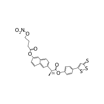 C[C@H](C(=O)Oc1ccc(-c2cc(=S)ss2)cc1)c1ccc2cc(OC(=O)CCCO[N+](=O)[O-])ccc2c1